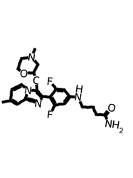 Cc1ccn2c(CC3CN(C)CCO3)c(-c3c(F)cc(NCCCC(N)=O)cc3F)nc2c1